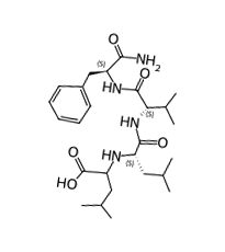 CC(C)CC(N[C@@H](CC(C)C)C(=O)N[C@H](C(=O)N[C@@H](Cc1ccccc1)C(N)=O)C(C)C)C(=O)O